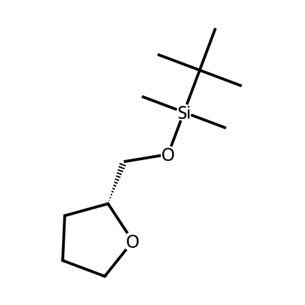 CC(C)(C)[Si](C)(C)OC[C@H]1CCCO1